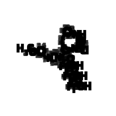 COc1cccc(CN2CCN(Cc3cc4cc(c3)Nc3nc(ncc3Cl)Nc3cccc(c3)CC4)CC2)c1.O=C(O)C(F)(F)F.O=C(O)C(F)(F)F.O=C(O)C(F)(F)F